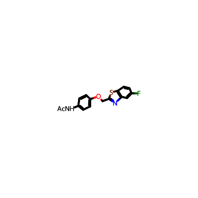 CC(=O)Nc1ccc(OCc2nc3cc(F)ccc3s2)cc1